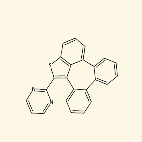 c1cnc(-c2sc3cccc4c3c2-c2ccccc2-c2ccccc2-4)nc1